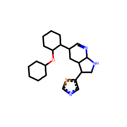 C1=NC2NCC(c3cncs3)C2CC1C1CCCCC1OC1CCCCC1